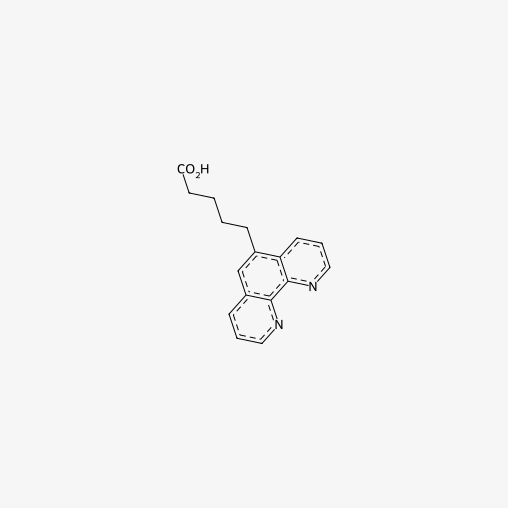 O=C(O)CCCCc1cc2cccnc2c2ncccc12